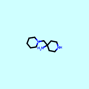 NC1(CN2CCCCC2)CCNCC1